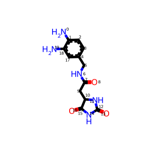 Nc1ccc(CNC(=O)CC2NC(=O)NC2=O)cc1N